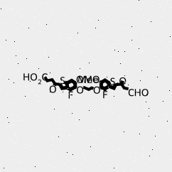 COc1cc2sc(C(=O)CCC=O)cc2c(F)c1OCCCOc1c(OC)cc2sc(C(=O)CCC(=O)O)cc2c1F